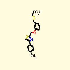 Cc1ccc(-c2csc(COc3cccc(CSCC(=O)O)c3)n2)cc1